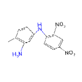 Cc1ccc(Nc2ccc([N+](=O)[O-])cc2[N+](=O)[O-])cc1N